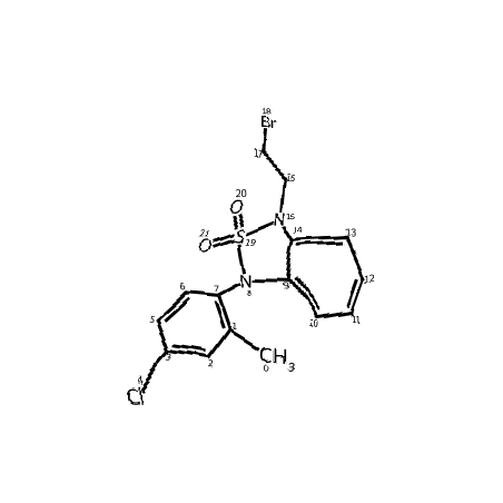 Cc1cc(Cl)ccc1N1c2ccccc2N(CCBr)S1(=O)=O